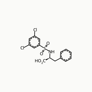 O=C(O)[C@H](Cc1ccccc1)NS(=O)(=O)c1cc(Cl)cc(Cl)c1